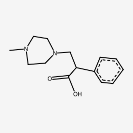 CN1CCN(CC(C(=O)O)c2ccccc2)CC1